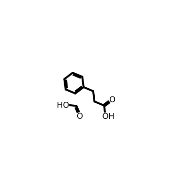 O=C(O)CCc1ccccc1.O=CO